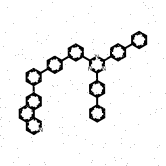 c1ccc(-c2ccc(-c3nc(-c4ccc(-c5ccccc5)cc4)nc(-c4cccc(-c5ccc(-c6cccc(-c7ccc8c(ccc9ccncc98)c7)c6)cc5)c4)n3)cc2)cc1